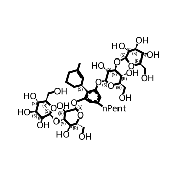 CCCCCc1cc(O[C@@H]2O[C@H](CO)[C@@H](O)[C@H](O[C@@H]3O[C@H](CO)[C@@H](O)[C@H](O)[C@H]3O)[C@H]2O)c([C@@H]2C=C(C)CCC2)c(O[C@@H]2O[C@H](CO)[C@@H](O)[C@H](O[C@@H]3O[C@H](CO)[C@@H](O)[C@H](O)[C@H]3O)[C@H]2O)c1